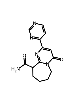 NC(=O)C1CCCCn2c1nc(-c1ccncn1)cc2=O